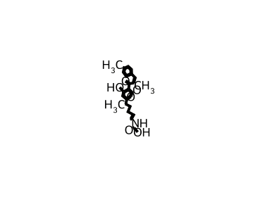 CC(=Cc1ccc(C)cc1)C(=O)c1c(O)cc(C(C)CCC=CNC(=O)O)oc1=O